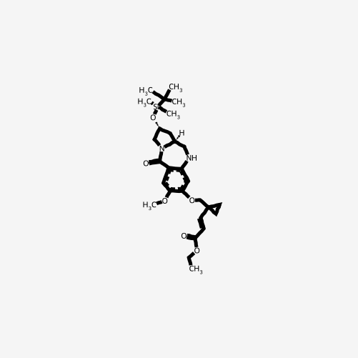 CCOC(=O)/C=C/C1(COc2cc3c(cc2OC)C(=O)N2C[C@H](O[Si](C)(C)C(C)(C)C)C[C@H]2CN3)CC1